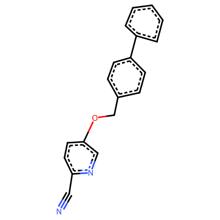 N#Cc1ccc(OCc2ccc(-c3ccccc3)cc2)cn1